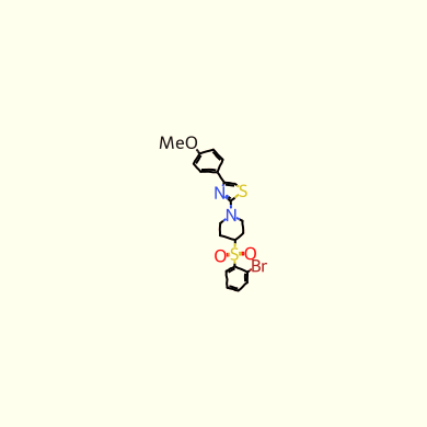 COc1ccc(-c2csc(N3CCC(S(=O)(=O)c4ccccc4Br)CC3)n2)cc1